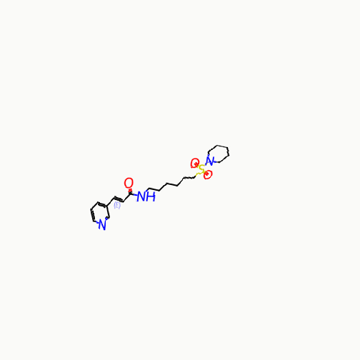 O=C(/C=C/c1cccnc1)NCCCCCCS(=O)(=O)N1CCCCC1